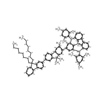 CCCCCCCCC1(CCCCCCCC)c2ccccc2-c2ccc(-c3ccc4c(c3)C(C)(C)c3cc(-c5cc6c7c(c5)B(c5c(C)cc(C)cc5C)c5cccc8c9cccc(c9n-7c58)B6c5c(C)cc(C)cc5C)c(C)cc3-4)cc21